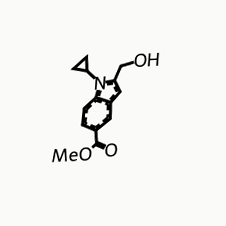 COC(=O)c1ccc2c(c1)cc(CO)n2C1CC1